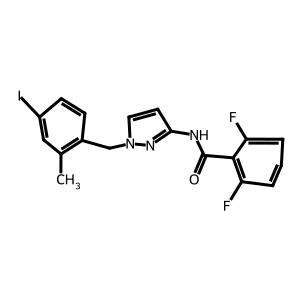 Cc1cc(I)ccc1Cn1ccc(NC(=O)c2c(F)cccc2F)n1